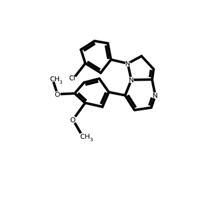 COc1ccc(C2=CC=NC3=CCN(c4cccc(Cl)c4)N32)cc1OC